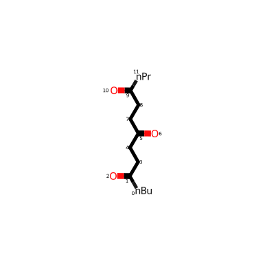 CCCCC(=O)CCC(=O)CCC(=O)CCC